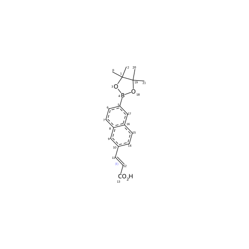 CC1(C)OB(c2ccc3cc(/C=C/C(=O)O)ccc3c2)OC1(C)C